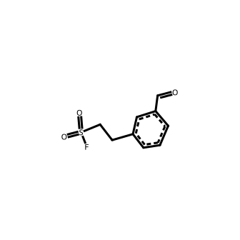 O=Cc1cccc(CCS(=O)(=O)F)c1